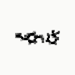 CC1(C)CCC[C@H](/C=N/c2ccc(CC#N)cc2)C1